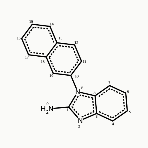 Nc1nc2ccccc2n1-c1ccc2ccccc2c1